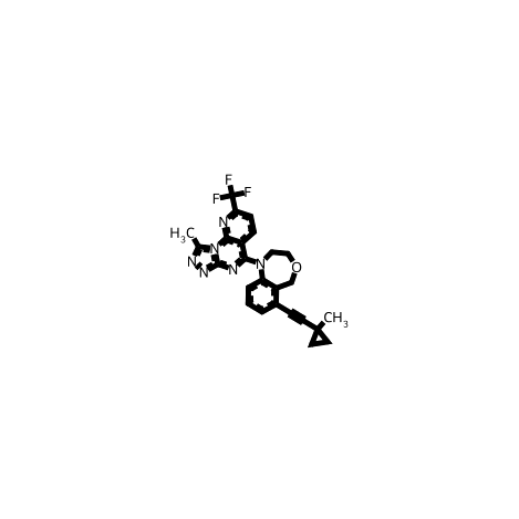 Cc1nnc2nc(N3CCOCc4c(C#CC5(C)CC5)cccc43)c3ccc(C(F)(F)F)nc3n12